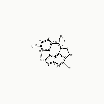 Cc1nc2ncnn2c2c1CCN2[C@H](c1ccc(Cl)c(F)c1)C(F)(F)F